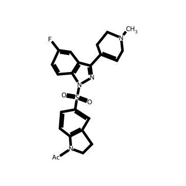 CC(=O)N1CCc2cc(S(=O)(=O)n3nc(C4=CCN(C)CC4)c4cc(F)ccc43)ccc21